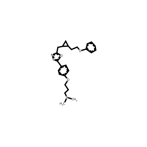 CN(C)CCCOc1ccc(-c2nnc(CC3CC3CCOc3ccccc3)o2)cc1